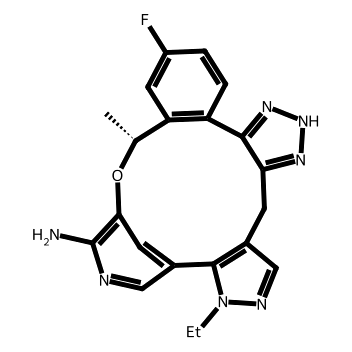 CCn1ncc2c1-c1cnc(N)c(c1)O[C@H](C)c1cc(F)ccc1-c1n[nH]nc1C2